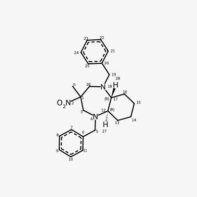 CC1([N+](=O)[O-])CN(Cc2ccccc2)[C@@H]2CCCC[C@H]2N(Cc2ccccc2)C1